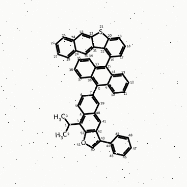 CC(C)c1c2ccc(-c3c4ccccc4c(-c4cccc5sc6cc7ccccc7cc6c45)c4ccccc34)cc2cc2c(-c3ccccc3)coc12